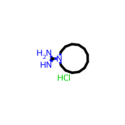 Cl.N=C(N)N1CCCCCCCCCCCC1